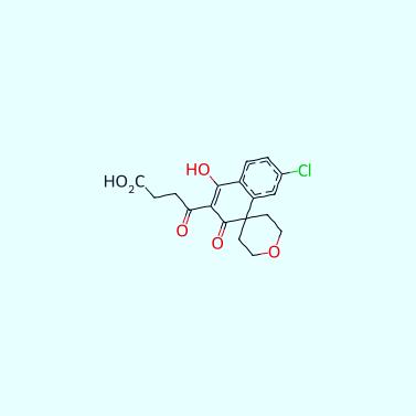 O=C(O)CCC(=O)C1=C(O)c2ccc(Cl)cc2C2(CCOCC2)C1=O